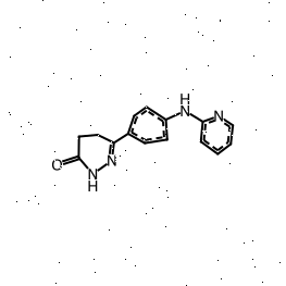 O=C1CCC(c2ccc(Nc3ccccn3)cc2)=NN1